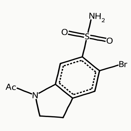 CC(=O)N1CCc2cc(Br)c(S(N)(=O)=O)cc21